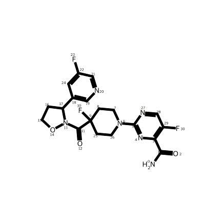 NC(=O)c1nc(N2CCC(F)(C(=O)N3OCCC3c3cncc(F)c3)CC2)ncc1F